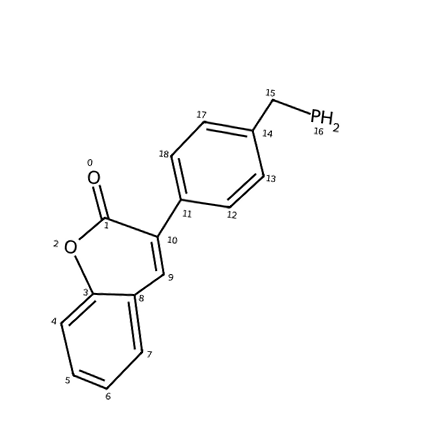 O=c1oc2ccccc2cc1-c1ccc(CP)cc1